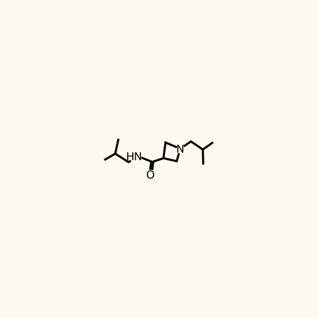 CC(C)CNC(=O)C1CN(CC(C)C)C1